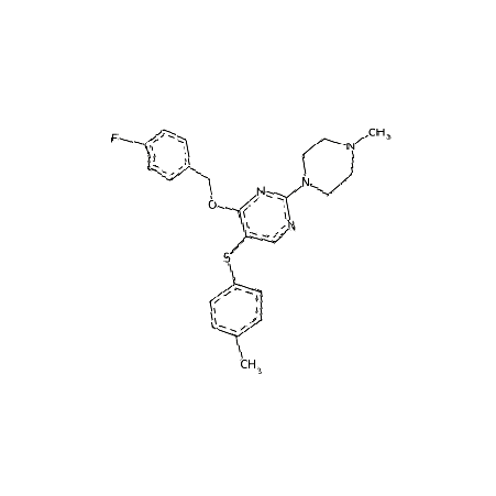 Cc1ccc(Sc2cnc(N3CCN(C)CC3)nc2OCc2ccc(F)cc2)cc1